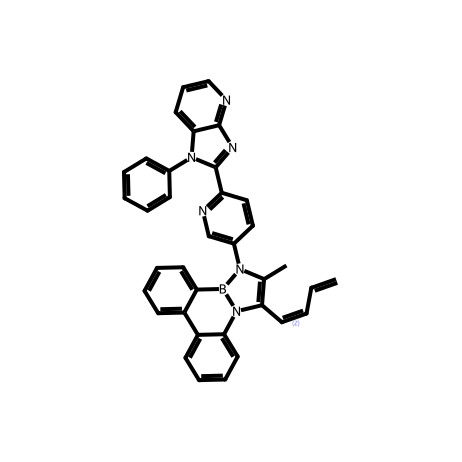 C=C/C=C\C1=C(C)N(c2ccc(-c3nc4ncccc4n3-c3ccccc3)nc2)B2c3ccccc3-c3ccccc3N21